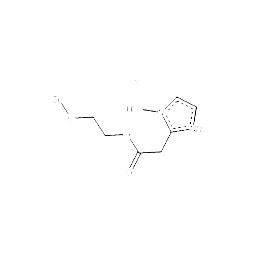 CCOCCOC(=O)Cc1[nH]cc[n+]1C.[Br-]